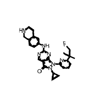 CC(C)(CF)c1cccc(-n2c3nc(Nc4ccc5c(c4)CCNC5)ncc3c(=O)n2C2CC2)n1